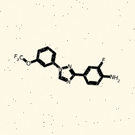 Nc1ccc(-c2ncn(-c3cccc(OC(F)(F)F)c3)n2)cc1F